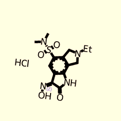 CCN1Cc2c(S(=O)(=O)N(C)C)cc3c(c2C1)NC(=O)/C3=N\O.Cl